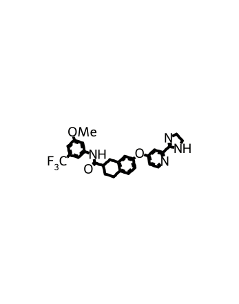 COc1cc(NC(=O)C2CCc3ccc(Oc4ccnc(C5=NCCN5)c4)cc3C2)cc(C(F)(F)F)c1